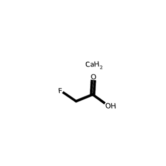 O=C(O)CF.[CaH2]